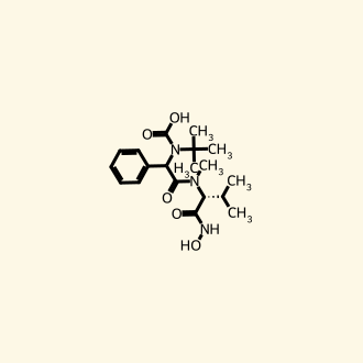 CC(C)[C@H](C(=O)NO)N(C)C(=O)C(c1ccccc1)N(C(=O)O)C(C)(C)C